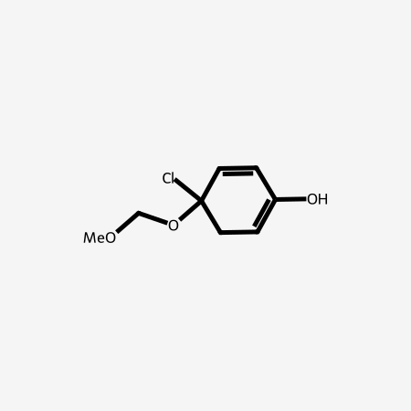 COCOC1(Cl)C=CC(O)=CC1